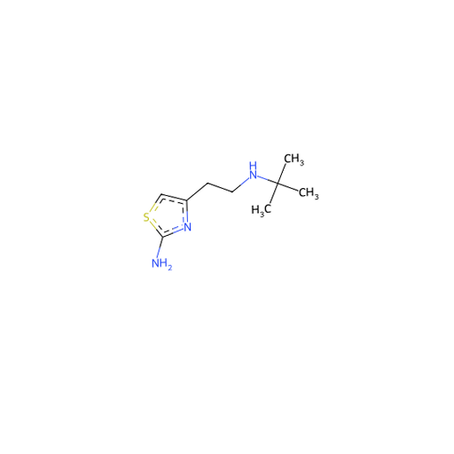 CC(C)(C)NCCc1csc(N)n1